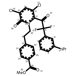 CCCc1cccc(C(F)(F)C(=O)c2c(Cl)cc(Cl)c(=O)n2CCc2ccc(C(=O)OC)cc2)c1